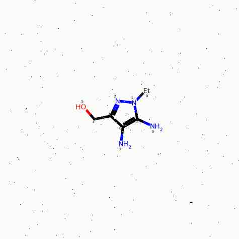 CCn1nc(CO)c(N)c1N